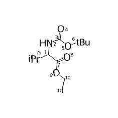 CC(C)C(NC(=O)OC(C)(C)C)C(=O)OCI